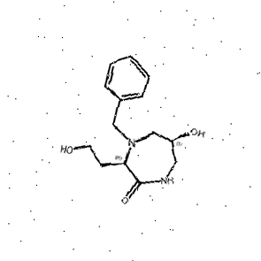 O=C1NC[C@H](O)CN(Cc2ccccc2)[C@@H]1CCO